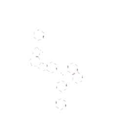 c1ccc(-c2ccc(N(c3ccccc3)c3ccc4c(c3)oc3ccc5oc(-c6ccccc6)nc5c34)c(-c3ccccc3)c2)cc1